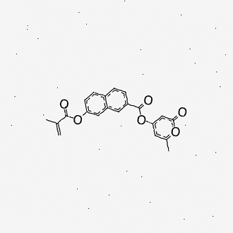 C=C(C)C(=O)Oc1ccc2ccc(C(=O)Oc3cc(C)oc(=O)c3)cc2c1